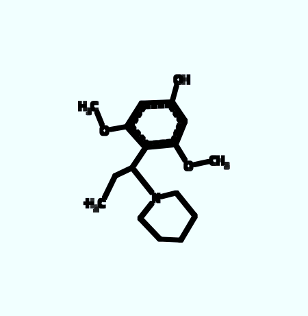 [CH2]CC(c1c(OC)cc(O)cc1OC)N1CCCCC1